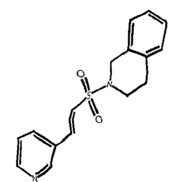 O=S(=O)(/C=C/c1cccnc1)N1CCc2ccccc2C1